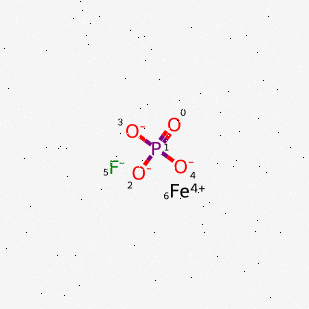 O=P([O-])([O-])[O-].[F-].[Fe+4]